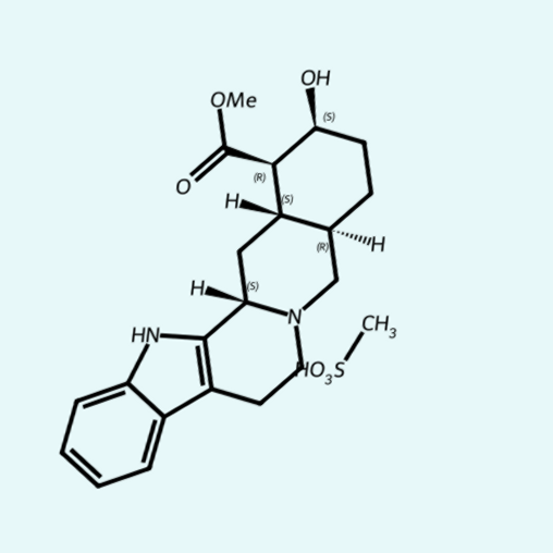 COC(=O)[C@@H]1[C@H]2C[C@H]3c4[nH]c5ccccc5c4CCN3C[C@@H]2CC[C@@H]1O.CS(=O)(=O)O